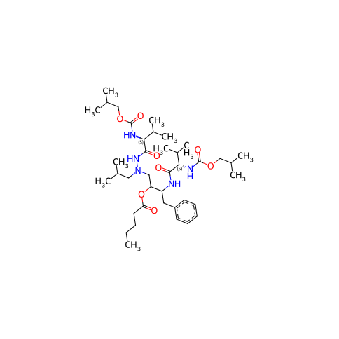 CCCCC(=O)OC(CN(CC(C)C)NC(=O)[C@@H](NC(=O)OCC(C)C)C(C)C)C(Cc1ccccc1)NC(=O)[C@@H](NC(=O)OCC(C)C)C(C)C